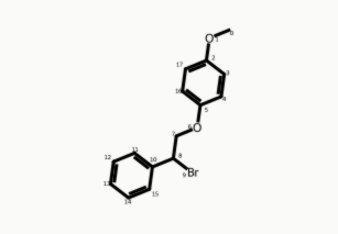 COc1ccc(OCC(Br)c2ccccc2)cc1